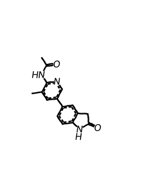 CC(=O)Nc1ncc(-c2ccc3c(c2)CC(=O)N3)cc1C